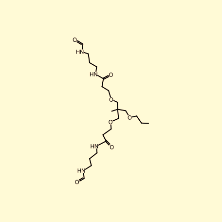 CCCOCC(C)(COCCC(=O)NCCCNC=O)COCCC(=O)NCCCNC=O